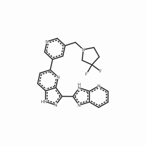 FC1(F)CCN(Cc2cncc(-c3ccc4[nH]nc(-c5nc6cccnc6[nH]5)c4n3)c2)C1